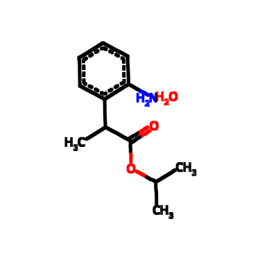 CC(C)OC(=O)C(C)c1ccccc1N.O